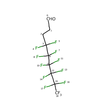 O=CCCC(F)(F)C(F)(F)C(F)(F)C(F)(F)C(F)(F)C(F)(F)F